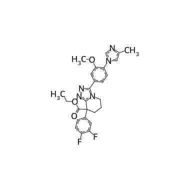 CCOC(=O)C1(c2ccc(F)c(F)c2)CCCn2c(-c3ccc(-n4cnc(C)c4)c(OC)c3)nnc21